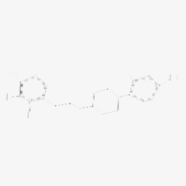 CCc1ccc(C2CCC(CCCc3ccc(C)c(F)c3F)CC2)c(F)c1